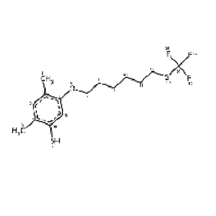 Cc1cc(C)c(OCCCCCCSC(F)(F)F)cc1S